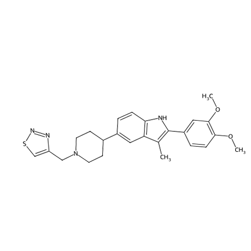 COc1ccc(-c2[nH]c3ccc(C4CCN(Cc5csnn5)CC4)cc3c2C)cc1OC